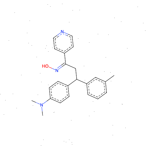 Cc1cccc(C(CC(=NO)c2ccncc2)c2ccc(N(C)C)cc2)c1